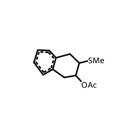 CSC1Cc2ccccc2CC1OC(C)=O